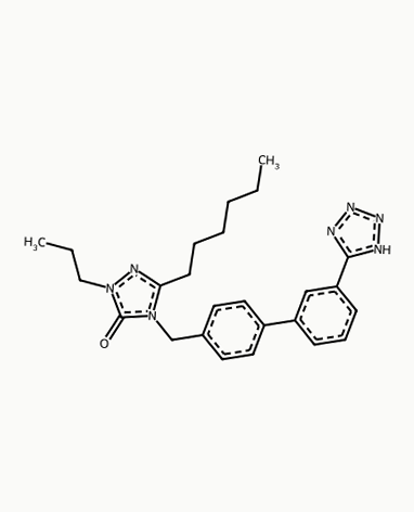 CCCCCCc1nn(CCC)c(=O)n1Cc1ccc(-c2cccc(-c3nnn[nH]3)c2)cc1